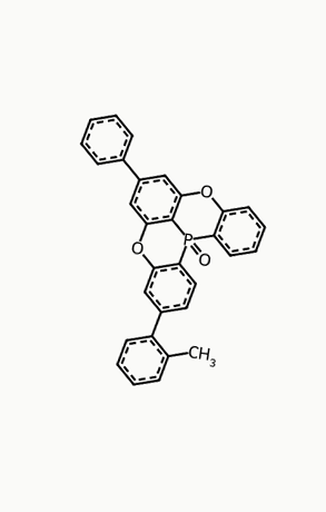 Cc1ccccc1-c1ccc2c(c1)Oc1cc(-c3ccccc3)cc3c1P2(=O)c1ccccc1O3